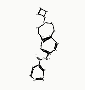 O=C(Nc1ccc2c(c1)CCN(C1CCC1)CC2)c1ccncc1